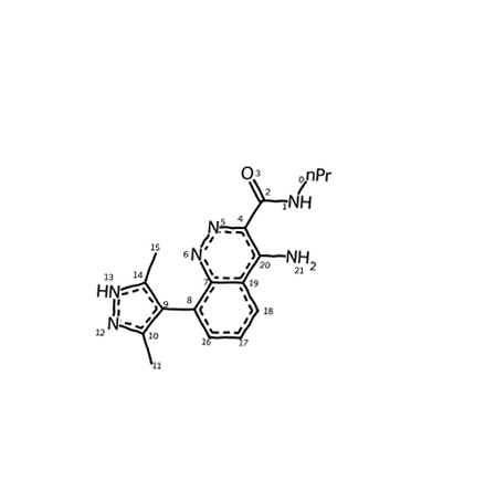 CCCNC(=O)c1nnc2c(-c3c(C)n[nH]c3C)cccc2c1N